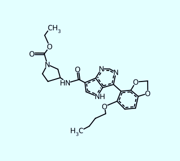 CCCCOc1ccc2c(c1-c1ncnc3c(C(=O)NC4CCN(C(=O)OCC)C4)c[nH]c13)OCO2